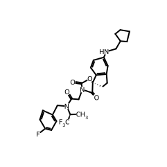 C[C@H](N(Cc1ccc(F)cc1)C(=O)CN1C(=O)O[C@]2(CCc3cc(NCC4CCCC4)ccc32)C1=O)C(F)(F)F